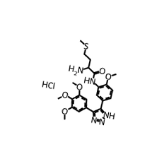 COc1ccc(-c2[nH]nnc2-c2cc(OC)c(OC)c(OC)c2)cc1NC(=O)C(N)CCSC.Cl